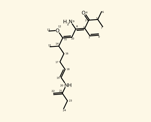 C=C/C(C(=O)C(C)C)=C(N)\C=C(/OC)C(C)CC/C=C/NC(=C)CC